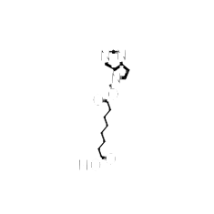 O=C(O)CCCCCCC(=O)OCn1ccc2ncncc21